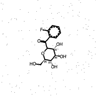 O=C([C]1O[C@H](CO)[C@@H](O)[C@H](O)[C@H]1O)c1ccccc1F